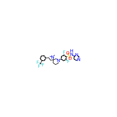 CN(C)C1(CCc2cccc(C(F)(F)F)c2)CCCN(c2cc(F)c(S(=O)(=O)Nc3ccncn3)c(F)c2)C1